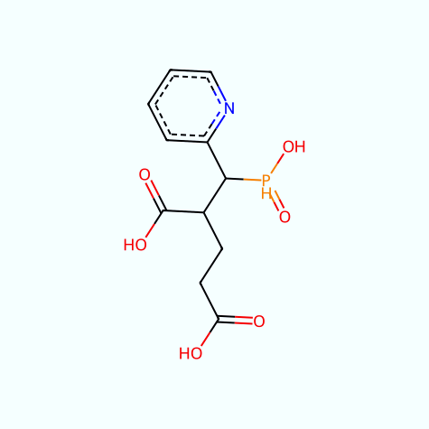 O=C(O)CCC(C(=O)O)C(c1ccccn1)[PH](=O)O